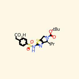 CC(C)[C@H]1c2nc(NS(=O)(=O)c3ccc(CC(=O)O)cc3)sc2CN1C(=O)OC(C)(C)C